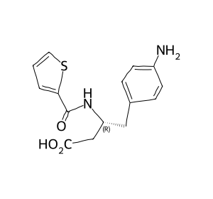 Nc1ccc(C[C@H](CC(=O)O)NC(=O)c2cccs2)cc1